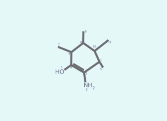 CC1C(N)=C(O)C(C)C(C)C1C